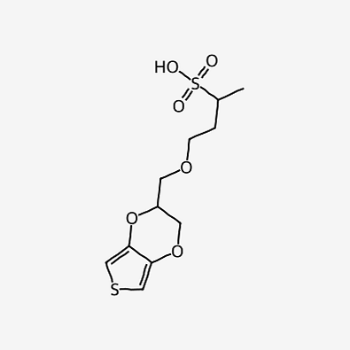 CC(CCOCC1COc2cscc2O1)S(=O)(=O)O